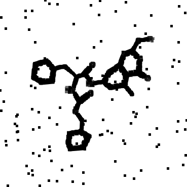 Cc1cc(NC(=O)[C@H](Cc2ccccc2)NC(=O)OCc2ccccc2)cc2nc(OC(C)C)oc(=O)c12